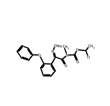 CON=C(C(=O)N(C)C(=O)OC(C)Cl)c1ccccc1Oc1ccccc1